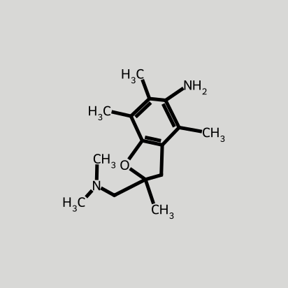 Cc1c(C)c2c(c(C)c1N)CC(C)(CN(C)C)O2